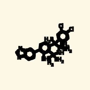 Bc1c(-c2ccc3ncnn3c2)ccc2c1C(B)(B)NC(B)(B)C2(B)c1ccc(Cl)c(Cl)c1